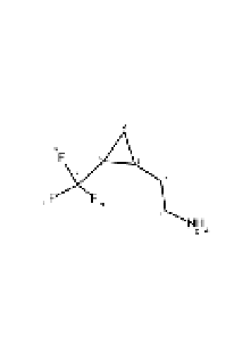 NCCC1CC1C(F)(F)F